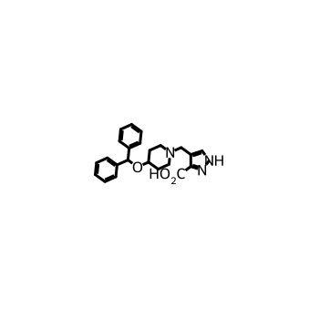 O=C(O)c1n[nH]cc1CN1CCC(OC(c2ccccc2)c2ccccc2)CC1